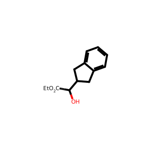 CCOC(=O)C(O)C1Cc2ccccc2C1